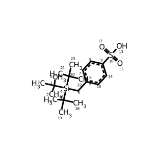 CC(C)(C)[Si](Cc1ccc(S(=O)(=O)O)cc1)(C(C)(C)C)C(C)(C)C